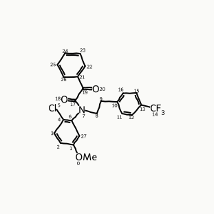 COc1ccc(Cl)c(N(CCc2ccc(C(F)(F)F)cc2)C(=O)C(=O)c2ccccc2)c1